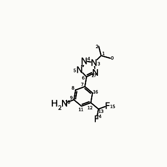 CC(C)n1nnc(-c2cc(N)cc(C(F)F)c2)n1